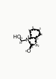 O=c1sc2ccccc2n1CO